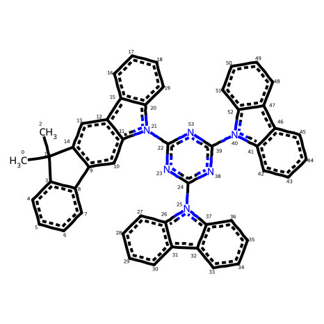 CC1(C)c2ccccc2-c2cc3c(cc21)c1ccccc1n3-c1nc(-n2c3ccccc3c3ccccc32)nc(-n2c3ccccc3c3ccccc32)n1